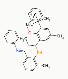 CCC(Pc1c(C)cccc1/C=N/c1ccccc1)c1cc(C)cc(C(C)(C)C)c1OCc1ccccc1